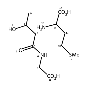 CC(O)CC(=O)NCC(=O)O.CSCCC(N)C(=O)O